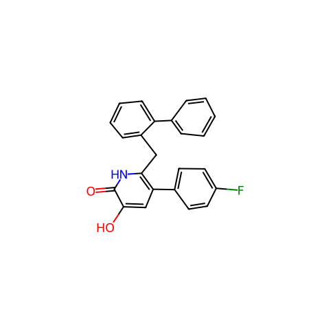 O=c1[nH]c(Cc2ccccc2-c2ccccc2)c(-c2ccc(F)cc2)cc1O